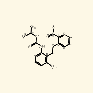 Cc1cccc(NC(=O)OC(C)C)c1COc1cccnc1[N+](=O)[O-]